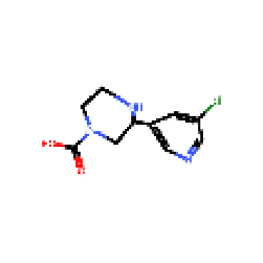 O=C(O)N1CCNC(c2cncc(Cl)c2)C1